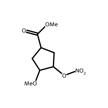 COC(=O)C1CC(OC)C(O[N+](=O)[O-])C1